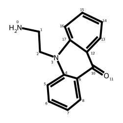 NCCn1c2ccccc2c(=O)c2ccccc21